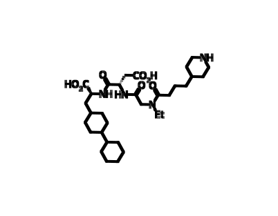 CCN(CC(=O)N[C@@H](CC(=O)O)C(=O)N[C@@H](CC1CCC(C2CCCCC2)CC1)C(=O)O)C(=O)CCCC1CCNCC1